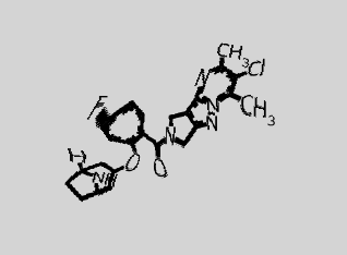 Cc1nc2c3c(nn2c(C)c1Cl)CN(C(=O)c1ccc(F)cc1OC1CC2CC[C@H](C1)N2)C3